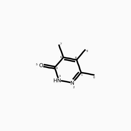 Cc1n[nH]c(=O)c(C)c1C